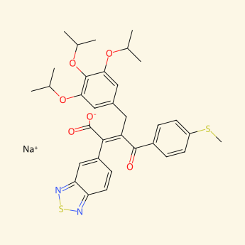 CSc1ccc(C(=O)C(Cc2cc(OC(C)C)c(OC(C)C)c(OC(C)C)c2)=C(C(=O)[O-])c2ccc3nsnc3c2)cc1.[Na+]